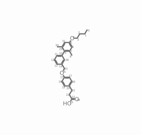 CCCCOc1cc(C)c(-c2cccc(COc3ccc(CCC(=O)O)cc3)c2)c(C)c1